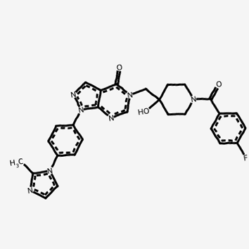 Cc1nccn1-c1ccc(-n2ncc3c(=O)n(CC4(O)CCN(C(=O)c5ccc(F)cc5)CC4)cnc32)cc1